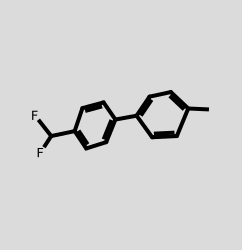 Cc1ccc(-c2ccc(C(F)F)cc2)cc1